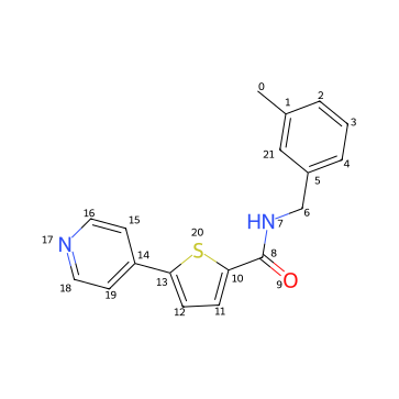 Cc1cccc(CNC(=O)c2ccc(-c3ccncc3)s2)c1